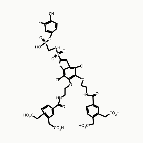 N#Cc1ccc(OP(=O)(O)CNS(=O)(=O)c2cc3c(Cl)c(OCCNC(=O)c4ccc(CC(=O)O)c(CC(=O)O)c4)c(OCCNC(=O)c4ccc(CC(=O)O)c(CC(=O)O)c4)c(Cl)c3s2)cc1F